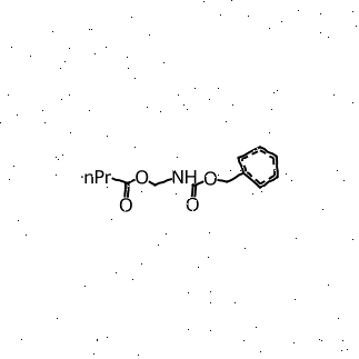 CC[CH]C(=O)OCNC(=O)OCc1ccccc1